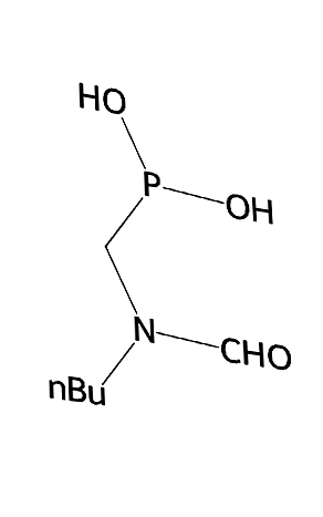 CCCCN(C=O)CP(O)O